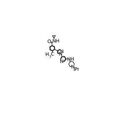 Cc1ccc(C(=O)NC2CC2)cc1-c1cnn(-c2cncc(NC3CCN(C(C)C)CC3)c2)c1